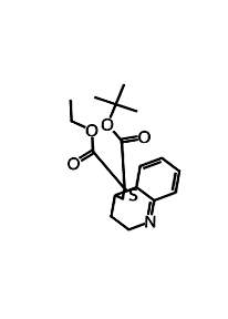 CCOC(=O)C1(C(=O)OC(C)(C)C)CC2CCN=C3C=CC=CC32S1